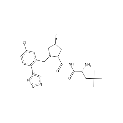 CC(C)(C)C[C@@H](N)C(=O)NC(=O)C1C[C@H](F)CN1Cc1cc(Cl)ccc1-n1cnnn1